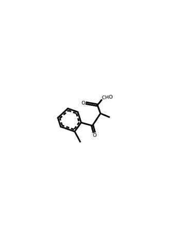 Cc1ccccc1C(=O)C(C)C(=O)C=O